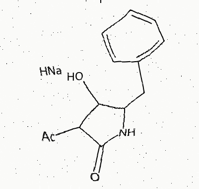 CC(=O)C1C(=O)NC(Cc2ccccc2)C1O.[NaH]